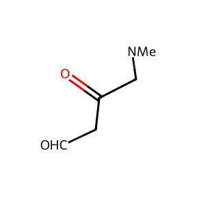 CNCC(=O)CC=O